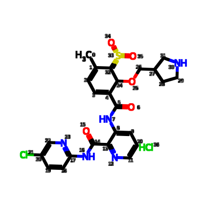 CC1=CC=C(C(=O)Nc2cccnc2C(=O)Nc2ccc(Cl)cn2)C(OCC2CCNC2)C1=S(=O)=O.Cl